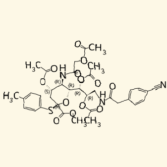 COC(=O)[C@]1(Sc2ccc(C)cc2)C[C@H](OC(C)=O)[C@@H](NC(=O)COC(C)=O)[C@H]([C@H](OC(C)=O)[C@@H](CNC(=O)Cc2ccc(C#N)cc2)OC(C)=O)O1